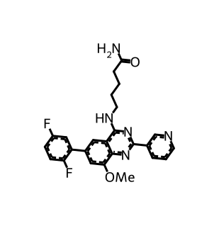 COc1cc(-c2cc(F)ccc2F)cc2c(NCCCCC(N)=O)nc(-c3cccnc3)nc12